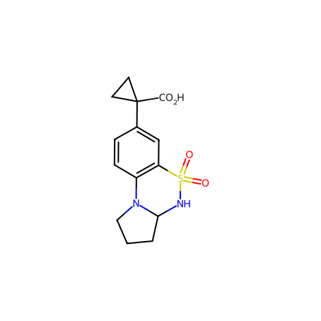 O=C(O)C1(c2ccc3c(c2)S(=O)(=O)NC2CCCN32)CC1